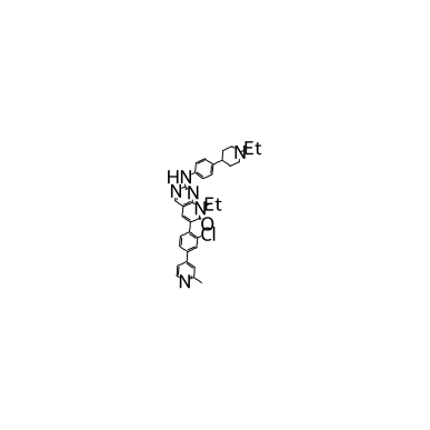 CCN1CCC(c2ccc(Nc3ncc4cc(-c5ccc(-c6ccnc(C)c6)cc5Cl)c(=O)n(CC)c4n3)cc2)CC1